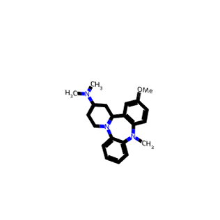 COc1ccc2c(c1)C1CC(N(C)C)CCN1c1ccccc1N2C